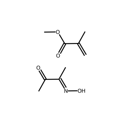 C=C(C)C(=O)OC.CC(=O)C(C)=NO